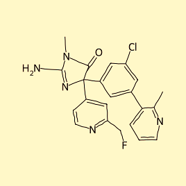 Cc1ncccc1-c1cc(Cl)cc(C2(c3ccnc(CF)c3)N=C(N)N(C)C2=O)c1